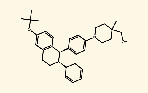 CC1(CO)CCN(c2ccc([C@@H]3c4ccc(OC(C)(C)C)cc4CC[C@@H]3C3C=CC=CC3)cc2)CC1